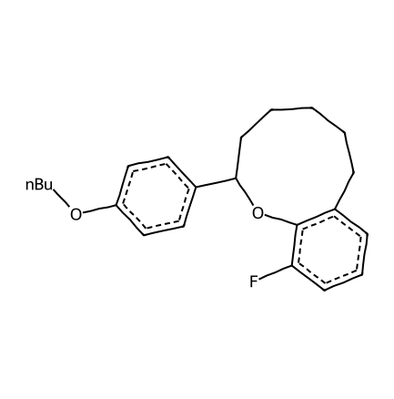 CCCCOc1ccc(C2CCCCCc3cccc(F)c3O2)cc1